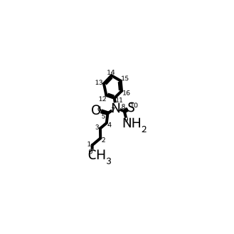 CCCCCC(=O)N(C(N)=S)c1ccccc1